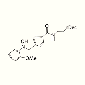 CCCCCCCCCCCCNC(=O)c1ccc(CN(O)c2ccccc2OC)cc1